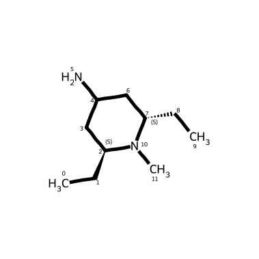 CC[C@H]1CC(N)C[C@H](CC)N1C